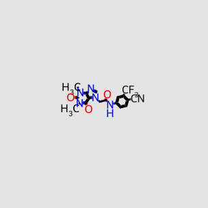 Cn1c(=O)c2c(ncn2CC(=O)Nc2ccc(C#N)c(C(F)(F)F)c2)n(C)c1=O